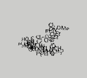 CC1(C)OC(c2ccco2)CN1C(=O)C(Cl)Cl.CCOC(=O)C(Cl)Cc1cc(-n2nc(C)n(C(F)F)c2=O)c(F)cc1Cl.CCc1cccc(CC)c1N(COC)C(=O)CCl.C[S+](C)C.O=C(O)CNCP(=O)([O-])O